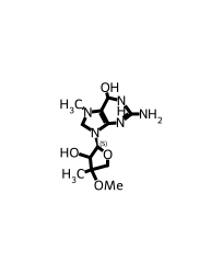 COC1(C)CO[C@H](N2CN(C)C3=C2N=C(N)NC3O)C1O